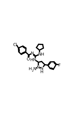 NN1NC(c2ccc(F)cc2)CC1N/C(=N\C(=O)c1ccc(Cl)cc1)NC1CCCC1